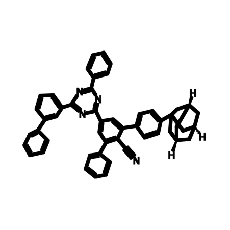 N#Cc1c(-c2ccccc2)cc(-c2nc(-c3ccccc3)nc(-c3cccc(-c4ccccc4)c3)n2)cc1-c1ccc(C23C[C@H]4C[C@@H](C2)C[C@@H](C3)C4)cc1